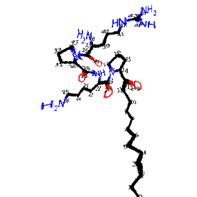 CCCCCCCCCCCCC(=O)C1CCCN1C(=O)C(CCCCN)NC(=O)C1CCCN1C(=O)C(N)CCCNC(=N)N